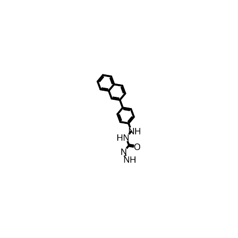 N=NC(=O)NNc1ccc(-c2ccc3ccccc3c2)cc1